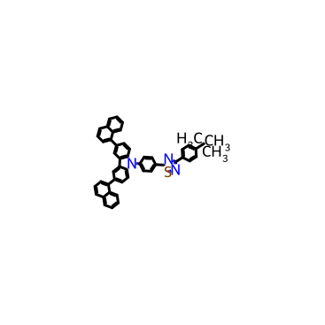 CC(C)(C)c1ccc(-c2nsc(-c3ccc(-n4c5ccc(-c6cccc7ccccc67)cc5c5cc(-c6cccc7ccccc67)ccc54)cc3)n2)cc1